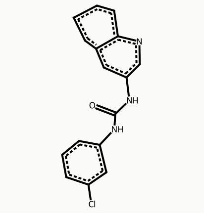 O=C(Nc1cccc(Cl)c1)Nc1cnc2ccccc2c1